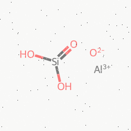 O=[Si](O)O.[Al+3].[O-2]